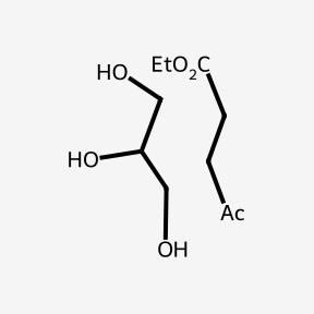 CCOC(=O)CCC(C)=O.OCC(O)CO